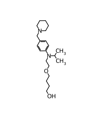 CC(C)N(CCOCCCCO)c1ccc(CN2CCCCC2)cc1